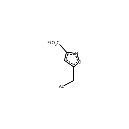 CCOC(=O)c1cc(CC(C)=O)on1